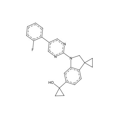 OC1(c2ccc3c(c2)N(c2ncc(-c4ccccc4F)cn2)CC32CC2)CC1